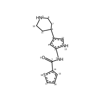 O=C(Nc1cc(C2CCNCC2)c[nH]1)c1cccs1